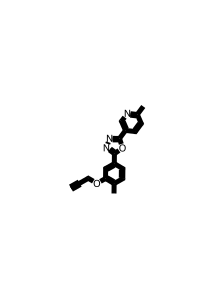 C#CCOc1cc(-c2nnc(-c3ccc(C)nc3)o2)ccc1C